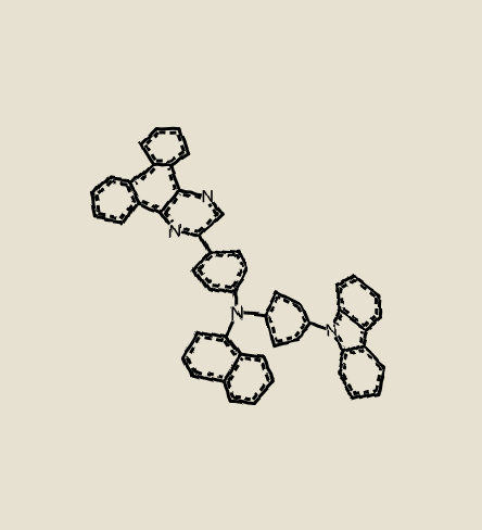 c1ccc2c(N(c3ccc(-c4cnc5c6ccccc6c6ccccc6c5n4)cc3)c3ccc(-n4c5ccccc5c5ccccc54)cc3)cccc2c1